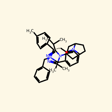 Cc1ccc([C@H](CCN2C3CCC2CC(n2c(C)nnc2C(C)C)C3)N(Cc2ccccc2)[C@H](C)c2ccccc2)cc1